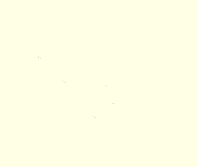 O=C(Nc1c(Cl)ccnc1Cl)c1ccnc2[nH]c(-c3ccc(F)cc3)nc12